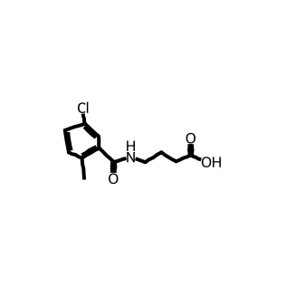 Cc1ccc(Cl)cc1C(=O)NCCCC(=O)O